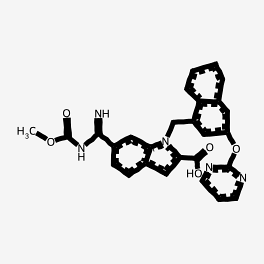 COC(=O)NC(=N)c1ccc2cc(C(=O)O)n(Cc3cc(Oc4ncccn4)cc4ccccc34)c2c1